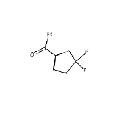 CCC(=O)C1CCC(F)(F)C1